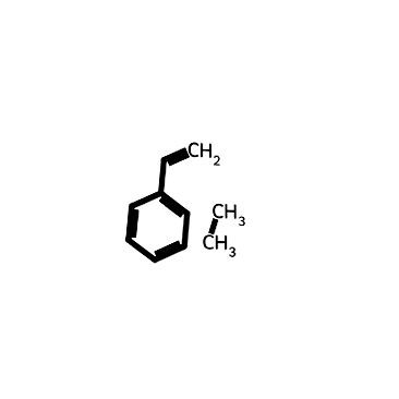 C=Cc1ccccc1.CC